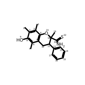 Cc1c(C)c2c(c(C)c1O)CC(c1ccccc1)C(C)(C(N)=S)O2